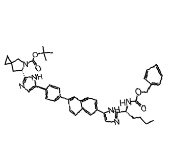 CCCC[C@H](NC(=O)OCc1ccccc1)c1ncc(-c2ccc3cc(-c4ccc(-c5cnc([C@@H]6CC7(CC7)CN6C(=O)OC(C)(C)C)[nH]5)cc4)ccc3c2)[nH]1